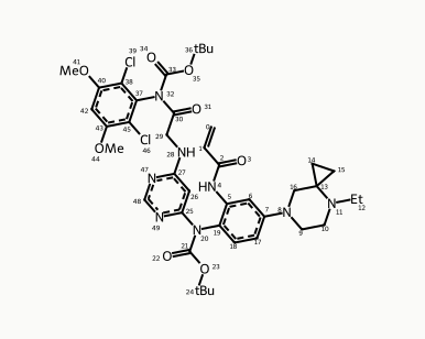 C=CC(=O)Nc1cc(N2CCN(CC)C3(CC3)C2)ccc1N(C(=O)OC(C)(C)C)c1cc(NCC(=O)N(C(=O)OC(C)(C)C)c2c(Cl)c(OC)cc(OC)c2Cl)ncn1